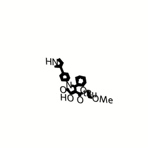 COCCOc1ccccc1C1C(C(=O)C(C)(C)C)=C(O)C(=O)N1c1ccc(-c2cc[nH]c2)cc1